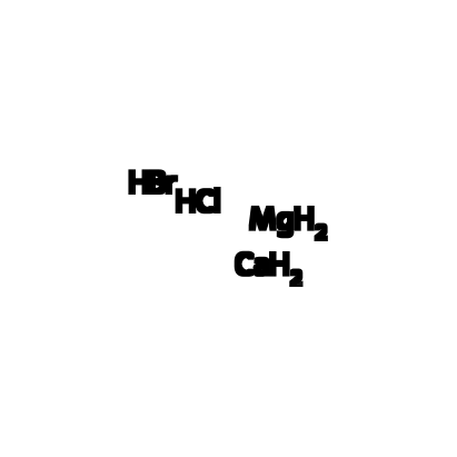 Br.Cl.[CaH2].[MgH2]